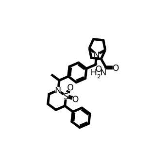 CC(c1ccc(C(=O)N2C3CCC2C(C(N)=O)C3)cc1)N1CCCC(c2ccccc2)S1(=O)=O